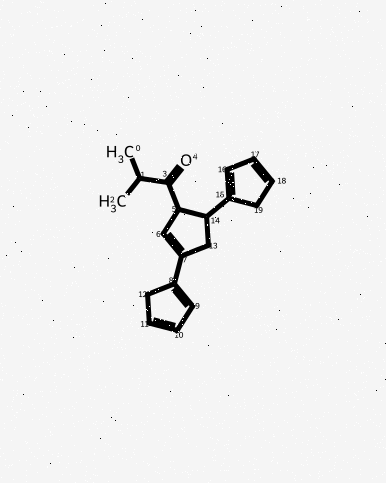 CC(C)C(=O)C1C=C(C2=CC=CC2)CC1C1=CC=CC1